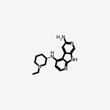 CCN1CCC[C@H](Nc2ccnc3[nH]c4cnc(N)cc4c23)C1